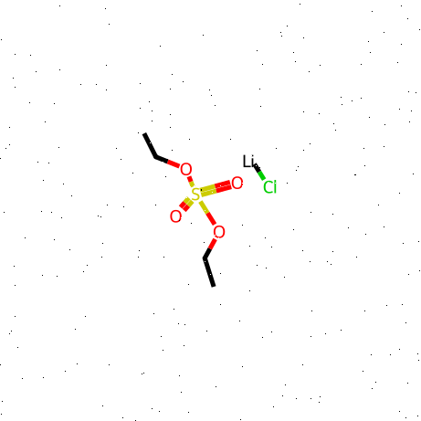 CCOS(=O)(=O)OCC.[Li][Cl]